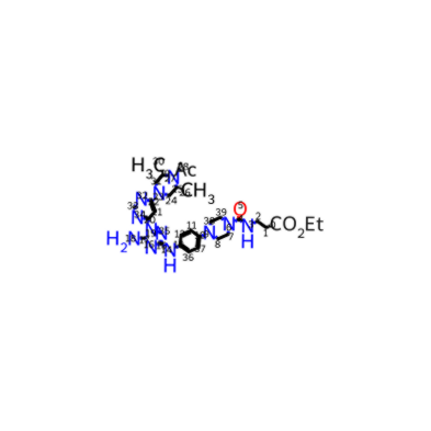 CCOC(=O)CCNC(=O)N1CCN(c2ccc(Nc3nc(N)n(-c4cc(N5C[C@@H](C)N(C(C)=O)[C@@H](C)C5)ncn4)n3)cc2)CC1